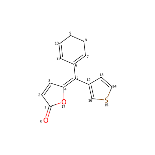 O=C1C=C/C(=C(\C2=CCCC=C2)c2ccsc2)O1